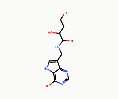 OCCC(O)C(O)NCc1c[nH]c2c(O)ncnc12